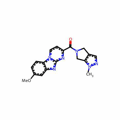 COc1ccc2c(c1)nc1nc(C(=O)N3Cc4cnn(C)c4C3)ccn12